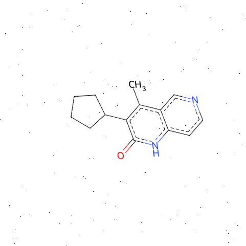 Cc1c(C2CCCC2)c(=O)[nH]c2ccncc12